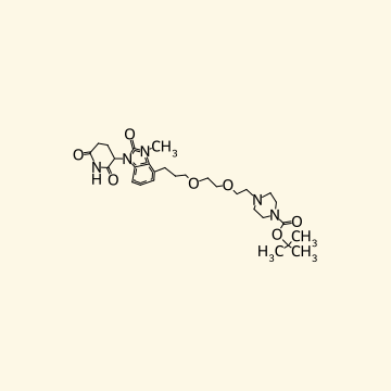 Cn1c(=O)n(C2CCC(=O)NC2=O)c2cccc(CCCOCCOCCN3CCN(C(=O)OC(C)(C)C)CC3)c21